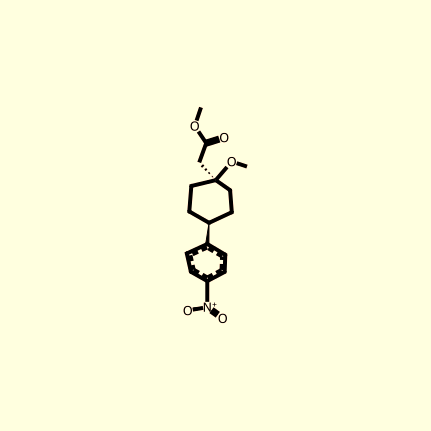 COC(=O)C[C@]1(OC)CC[C@@H](c2ccc([N+](=O)[O-])cc2)CC1